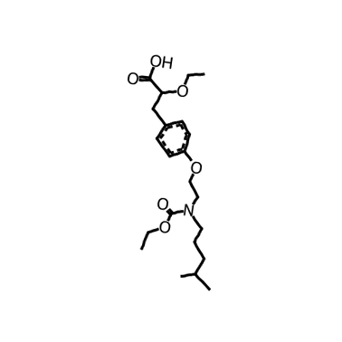 CCOC(=O)N(CCCC(C)C)CCOc1ccc(CC(OCC)C(=O)O)cc1